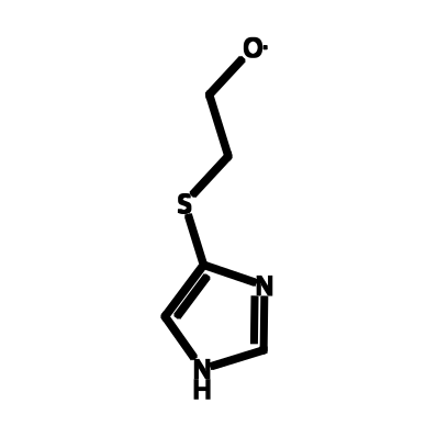 [O]CCSc1c[nH]cn1